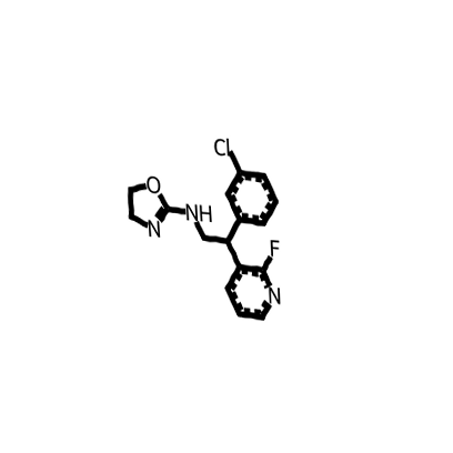 Fc1ncccc1C(CNC1=NCCO1)c1cccc(Cl)c1